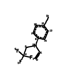 C=CN(CC(F)(F)F)c1ccc(C)cc1